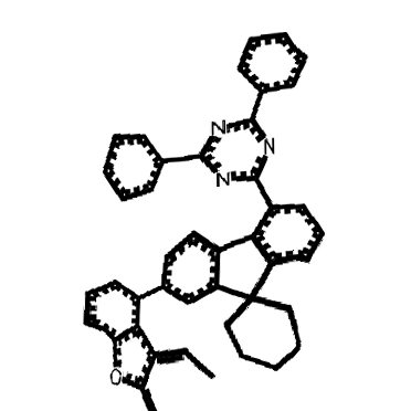 C/C=c1\c(=C/C)oc2cccc(-c3ccc4c(c3)C3(CCCCC3)c3cccc(-c5nc(-c6ccccc6)nc(-c6ccccc6)n5)c3-4)c12